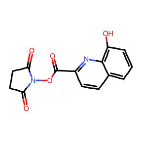 O=C(ON1C(=O)CCC1=O)c1ccc2cccc(O)c2n1